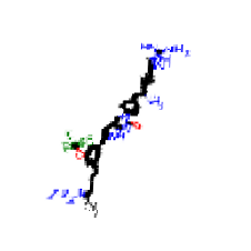 C[C@H](N)CCCc1cc(OC(F)(F)F)c(F)c(-c2cc3cn(-c4ccc(C[C@H](N)CCCNC(=N)N)cc4)c(=O)nc3[nH]2)c1